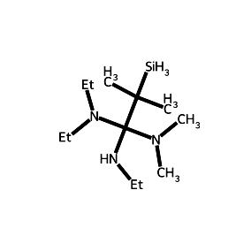 CCNC(N(C)C)(N(CC)CC)C(C)(C)[SiH3]